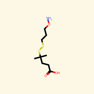 CC(C)(CCC(=O)O)SSCCCON